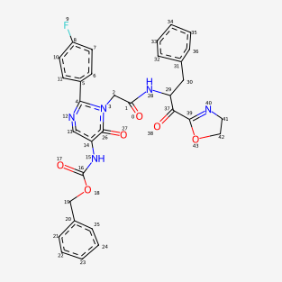 O=C(Cn1c(-c2ccc(F)cc2)ncc(NC(=O)OCc2ccccc2)c1=O)NC(Cc1ccccc1)C(=O)C1=NCCO1